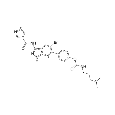 CN(C)CCCNC(=O)Oc1ccc(-c2nc3[nH]nc(NC(=O)c4cnsc4)c3cc2Br)cc1